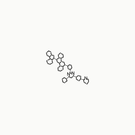 c1ccc(-c2cc(-c3ccc(-c4ccccn4)cc3)nc(-c3cccc(-c4cc5c6ccccc6c(-c6cc7ccccc7c7ccccc67)cc5c5ccccc45)c3)n2)cc1